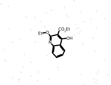 CCOC(=O)c1c(OCC)nc2ccccc2c1O